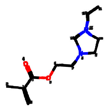 C=C(C)C(=O)OCCN1CCN(CC)C1